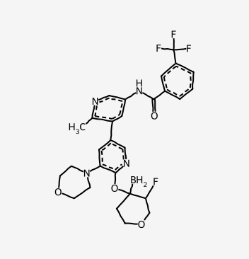 BC1(Oc2ncc(-c3cc(NC(=O)c4cccc(C(F)(F)F)c4)cnc3C)cc2N2CCOCC2)CCOCC1F